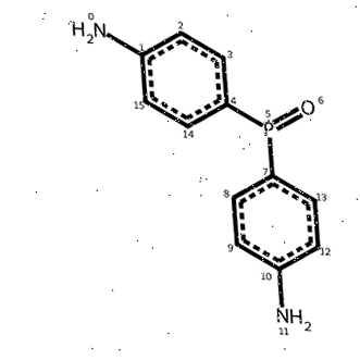 Nc1ccc([P](=O)c2ccc(N)cc2)cc1